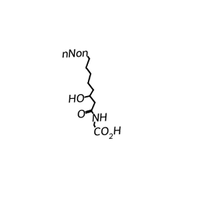 CCCCCCCCCCCCCCC(O)CC(=O)NCC(=O)O